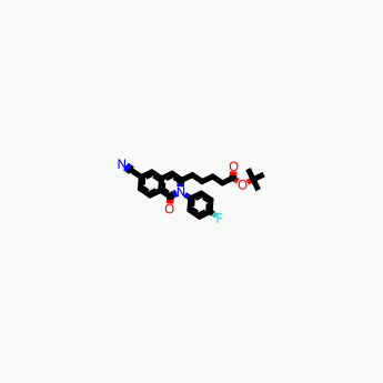 CC(C)(C)OC(=O)CCCCc1cc2cc(C#N)ccc2c(=O)n1-c1ccc(F)cc1